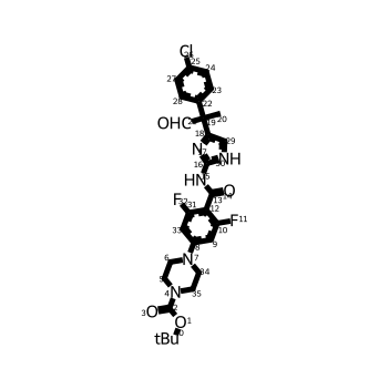 CC(C)(C)OC(=O)N1CCN(c2cc(F)c(C(=O)Nc3nc(C(C)(C=O)c4ccc(Cl)cc4)c[nH]3)c(F)c2)CC1